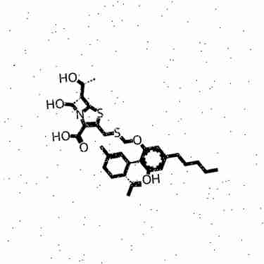 C=C(C)[C@@H]1CCC(C)=C[C@H]1c1c(O)cc(CCCCC)cc1OCSCC1=C(C(=O)O)N2C(O)[C@H]([C@@H](C)O)C2S1